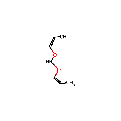 C/C=C\OBO/C=C\C